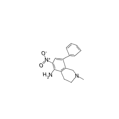 CN1CCc2c(N)c([N+](=O)[O-])cc(-c3ccccc3)c2C1